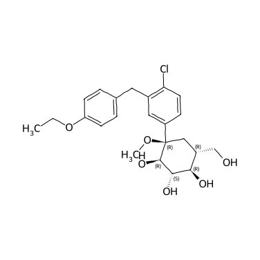 CCOc1ccc(Cc2cc([C@]3(OC)C[C@H](CO)[C@@H](O)[C@H](O)[C@H]3O)ccc2Cl)cc1